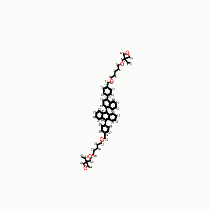 CCC1(COCCCCCOCc2ccc(-c3ccc(-c4c5ccccc5c(-c5ccc(COCCCCCOCC6(CC)COC6)cc5)c5ccccc45)c4ccccc34)cc2)COC1